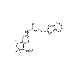 CCCCCCCCN1c2ccc(NC(=O)OCCc3nc4ccccc4s3)cc2C(C)CC1(C)C